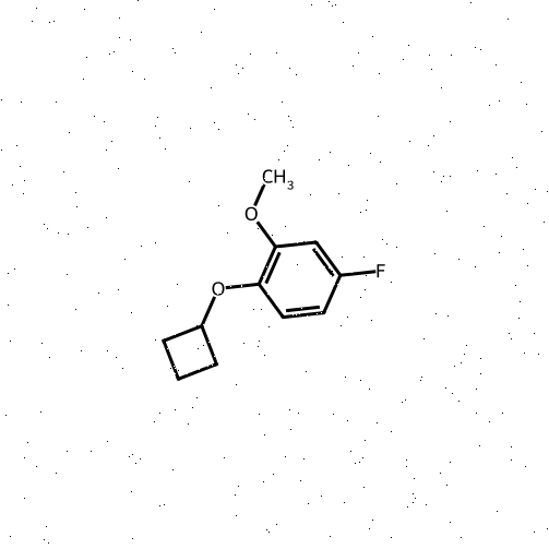 COc1cc(F)ccc1OC1CCC1